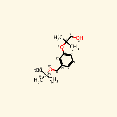 CC(C)(CO)Oc1cccc(CO[Si](C)(C)C(C)(C)C)c1